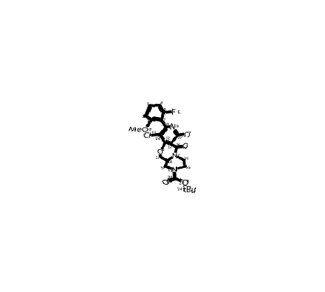 COc1cccc(F)c1-c1nc(Cl)c2c(c1Cl)OCC1CN(C(=O)OC(C)(C)C)CCN1C2=O